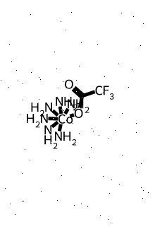 [NH2][Co]([NH2])([NH2])([NH2])([NH2])([NH2])[O]C(=O)C(F)(F)F